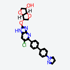 O[C@@H]1CO[C@H]2[C@@H]1OC[C@H]2Oc1nc2nc(-c3ccc(-c4ccc(-n5cccn5)cc4)cc3)c(Cl)cc2[nH]1